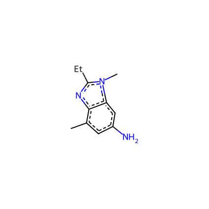 CCc1nc2c(C)cc(N)cc2n1C